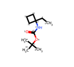 CCC1(NC(=O)OC(C)(C)C)CCC1